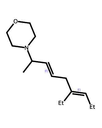 CC/C=C(\CC)C/C=C/C(C)N1CCOCC1